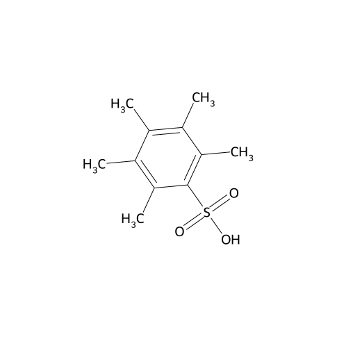 Cc1c(C)c(C)c(S(=O)(=O)O)c(C)c1C